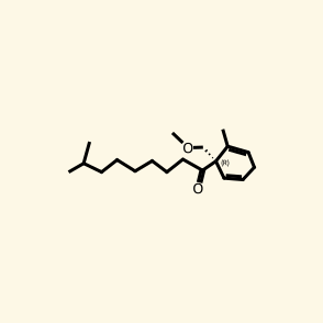 COC[C@@]1(C(=O)CCCCCCC(C)C)C=CCC=C1C